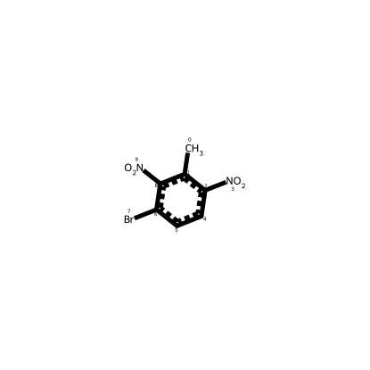 Cc1c([N+](=O)[O-])ccc(Br)c1[N+](=O)[O-]